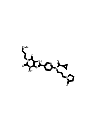 CCCn1c(=O)n(CCCOC)c(=O)c2[nH]c(-c3ccc(N(CCCN4CCCC4=O)C(=O)C4CC4)nc3)nc21